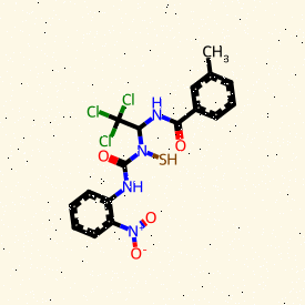 Cc1cccc(C(=O)NC(N(S)C(=O)Nc2ccccc2[N+](=O)[O-])C(Cl)(Cl)Cl)c1